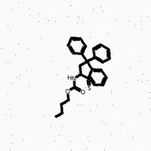 CCCCOC(=O)NC(C=S)CC(c1ccccc1)(c1ccccc1)c1ccccc1